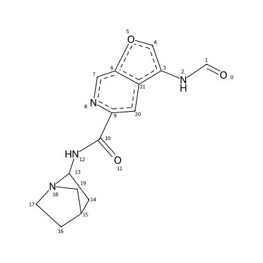 O=CNc1coc2cnc(C(=O)NC3CC4CCN3C4)cc12